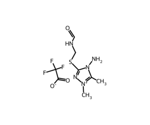 Cc1n(N)c(SCNC=O)n[n+]1C.O=C([O-])C(F)(F)F